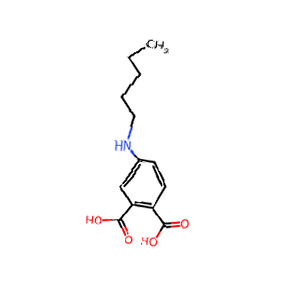 CCCCCNc1ccc(C(=O)O)c(C(=O)O)c1